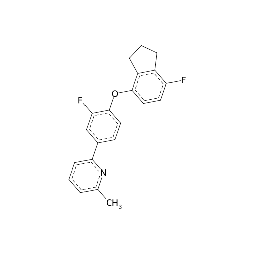 Cc1cccc(-c2ccc(Oc3ccc(F)c4c3CCC4)c(F)c2)n1